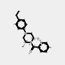 CCc1ccc(N2C[C@@H](C)N(C(=O)c3ccccn3)[C@@H](C)C2)cc1